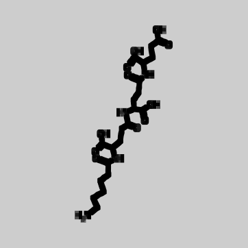 NCCCCCC(=O)NC(CCC(=O)NC(CCC(=O)NC(CCC(=O)O)C(=O)O)C(=O)O)C(=O)O